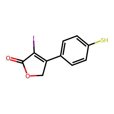 O=C1OCC(c2ccc(S)cc2)=C1I